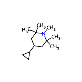 CN1C(C)(C)CC(C2CC2)CC1(C)C